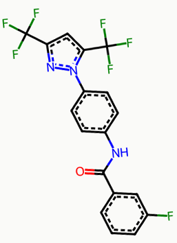 O=C(Nc1ccc(-n2nc(C(F)(F)F)cc2C(F)(F)F)cc1)c1cccc(F)c1